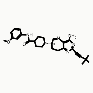 COc1cccc(NC(=O)C2CCC([C@@H]3C=Nc4c(N)nc(C#CC(C)(C)C)nc4CC3)CC2)c1